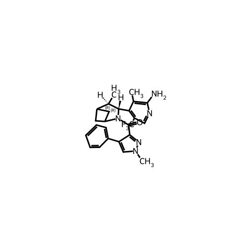 Cc1c(N)ncc(C(F)(F)F)c1[C@H]1[C@H](C)C2CC(C2)N1C(=O)c1nn(C)cc1-c1ccccc1